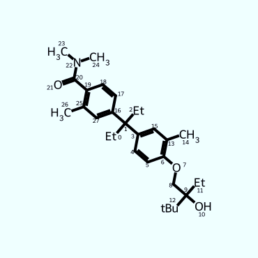 CCC(CC)(c1ccc(OCC(O)(CC)C(C)(C)C)c(C)c1)c1ccc(C(=O)N(C)C)c(C)c1